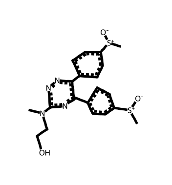 CN(CCO)c1nnc(-c2ccc([S+](C)[O-])cc2)c(-c2ccc([S+](C)[O-])cc2)n1